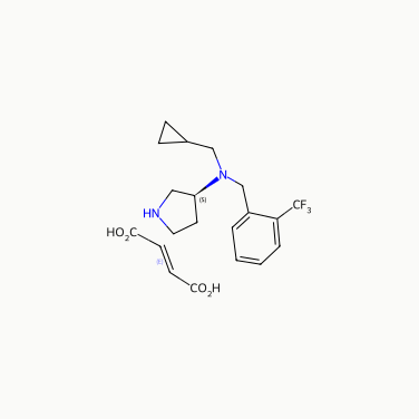 FC(F)(F)c1ccccc1CN(CC1CC1)[C@H]1CCNC1.O=C(O)/C=C/C(=O)O